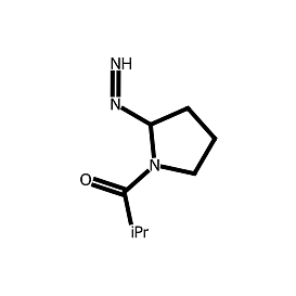 CC(C)C(=O)N1CCCC1N=N